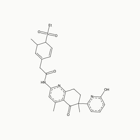 CCS(=O)(=O)C1C=CC(CC(=O)Nc2cc(C)c3c(n2)CCC(C)(c2cccc(O)n2)C3=O)=CC1C